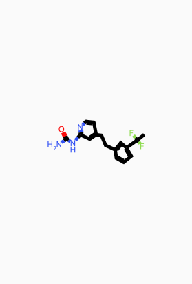 CC(F)(F)c1cccc(CCc2ccnc(NC(N)=O)c2)c1